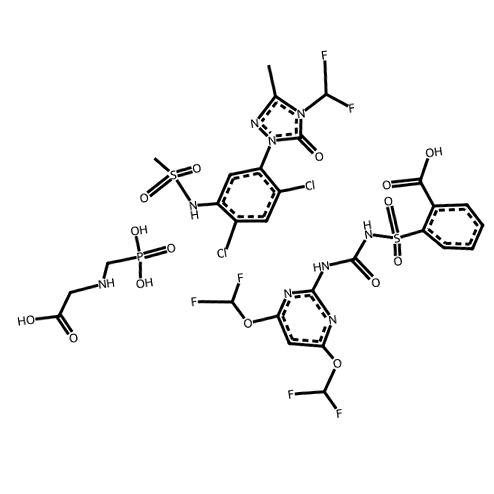 Cc1nn(-c2cc(NS(C)(=O)=O)c(Cl)cc2Cl)c(=O)n1C(F)F.O=C(Nc1nc(OC(F)F)cc(OC(F)F)n1)NS(=O)(=O)c1ccccc1C(=O)O.O=C(O)CNCP(=O)(O)O